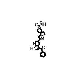 CCNC(=O)N1CCC2(CCn3nc(-c4cnc5[nH]cc(C(=O)c6ccccc6)c5c4)cc32)C1